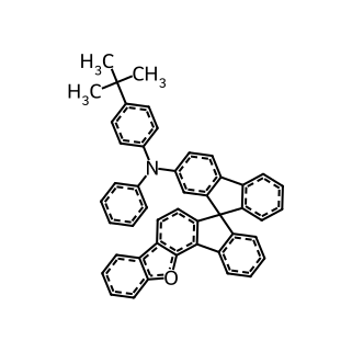 CC(C)(C)c1ccc(N(c2ccccc2)c2ccc3c(c2)C2(c4ccccc4-3)c3ccccc3-c3c2ccc2c3oc3ccccc32)cc1